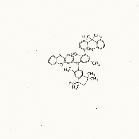 Cc1cc(-c2cccc3c2Nc2ccccc2C3(C)C)c2c(c1)N(c1cc3c(cc1C)C(C)(C)CCC3(C)C)c1cc3c(cc1B2)Sc1ccccc1O3